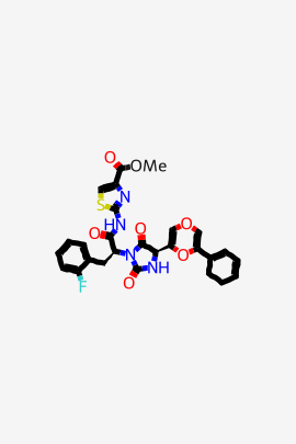 COC(=O)c1csc(NC(=O)[C@H](Cc2ccccc2F)N2C(=O)N[C@H](C3=COC=C(C4=CC=CCC4)O3)C2=O)n1